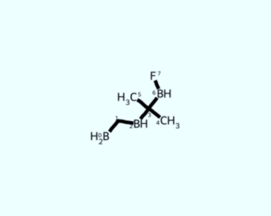 BCBC(C)(C)BF